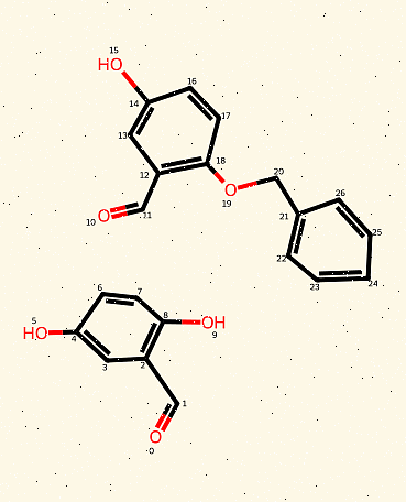 O=Cc1cc(O)ccc1O.O=Cc1cc(O)ccc1OCc1ccccc1